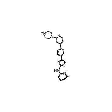 Cc1cccc(Nc2nc(-c3ccc(-c4ccnc(N5CCN(C)CC5)c4)cc3)cs2)n1